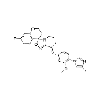 COc1cc(/C=C2\CCCN3C2=NOC32CCOc3cc(F)ccc32)ccc1-n1cnc(C)c1